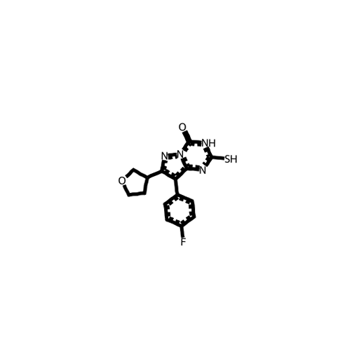 O=c1[nH]c(S)nc2c(-c3ccc(F)cc3)c(C3CCOC3)nn12